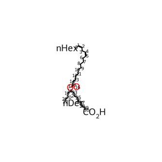 CCCCCC/C=C\C/C=C\CCCCCCCCCC(=O)OC(CCCCCCCCCCCCC)CCCCCCCC(=O)O